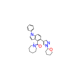 C[N+]1(C(=O)c2c(-c3cnn(C4CCCCO4)c3)ccc3c2ccn3-c2ccccc2)CCCCCC1